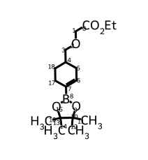 CCOC(=O)COCC1CC=C(B2OC(C)(C)C(C)(C)O2)CC1